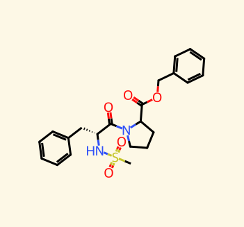 CS(=O)(=O)N[C@H](Cc1ccccc1)C(=O)N1CCCC1C(=O)OCc1ccccc1